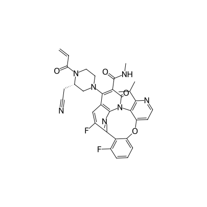 C=CC(=O)N1CCN(c2c(C(=O)NC)c(=O)n3c4nc(c(F)cc24)c2c(F)cccc2oc2ccnc(C(C)C)c23)C[C@@H]1CC#N